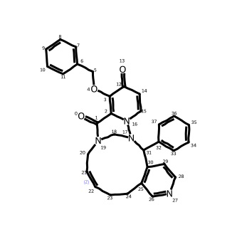 O=C1c2c(OCc3ccccc3)c(=O)ccn2N2CN1C/C=C\CCc1cnccc1C2c1ccccc1